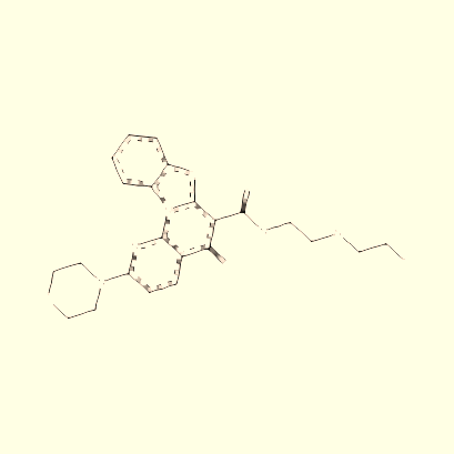 O=C(NCCNCCF)c1c(=O)c2ccc(N3CCOCC3)nc2n2c1sc1ccccc12